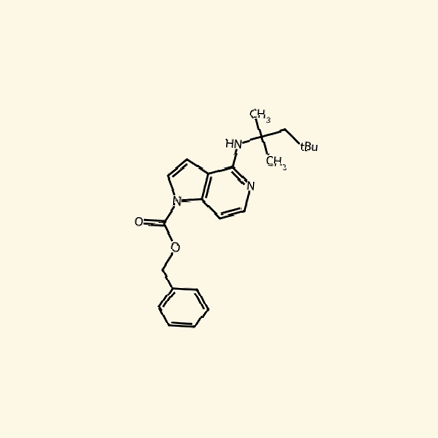 CC(C)(C)CC(C)(C)Nc1nccc2c1ccn2C(=O)OCc1ccccc1